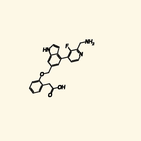 NCc1nccc(-c2cc(COc3ccccc3CC(=O)O)cc3[nH]ccc23)c1F